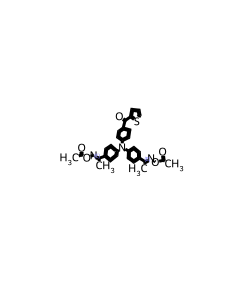 CC(=O)O/N=C(\C)c1ccc(N(c2ccc(C(=O)c3cccs3)cc2)c2ccc(/C(C)=N/OC(C)=O)cc2)cc1